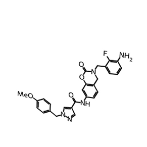 COc1ccc(Cn2cc(C(=O)Nc3ccc4c(c3)OC(=O)N(Cc3cccc(N)c3F)C4)cn2)cc1